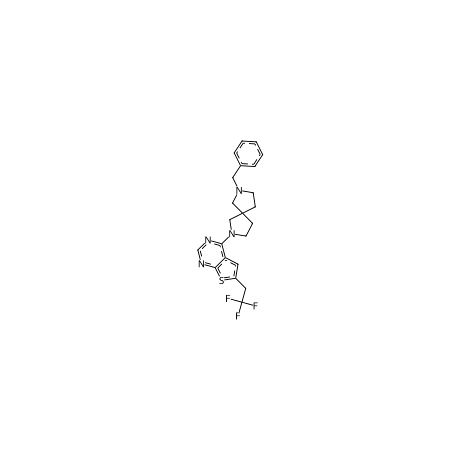 FC(F)(F)Cc1cc2c(N3CCC4(CCN(Cc5ccccc5)C4)C3)ncnc2s1